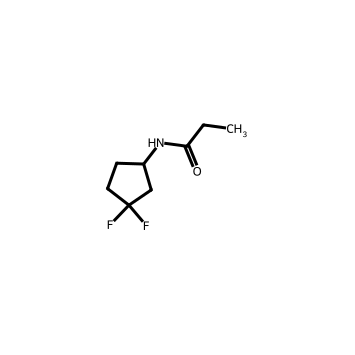 CCC(=O)NC1CCC(F)(F)C1